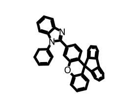 C1=CCCC(n2c(-c3ccc4c(c3)Oc3ccccc3C43c4ccccc4-c4ccccc43)nc3ccccc32)=C1